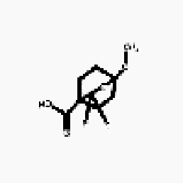 COC12CCC(C(=O)O)(CC1)C(F)(F)C2